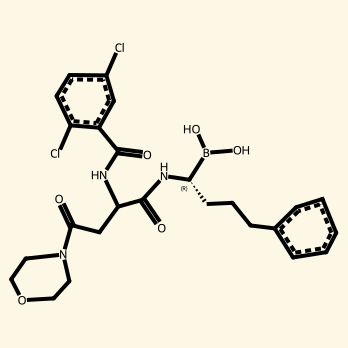 O=C(NC(CC(=O)N1CCOCC1)C(=O)N[C@@H](CCCc1ccccc1)B(O)O)c1cc(Cl)ccc1Cl